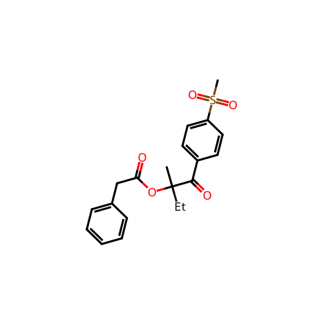 CCC(C)(OC(=O)Cc1ccccc1)C(=O)c1ccc(S(C)(=O)=O)cc1